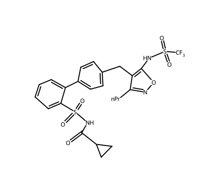 CCCc1noc(NS(=O)(=O)C(F)(F)F)c1Cc1ccc(-c2ccccc2S(=O)(=O)NC(=O)C2CC2)cc1